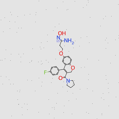 N/C(CCOc1ccc2c(c1)C(c1ccc(F)cc1)=C(C(=O)N1CCCC1)CO2)=N\O